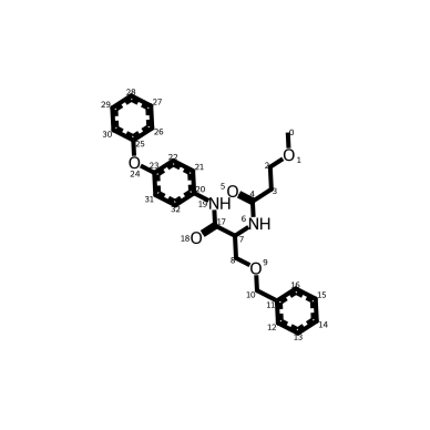 COCCC(=O)NC(COCc1ccccc1)C(=O)Nc1ccc(Oc2ccccc2)cc1